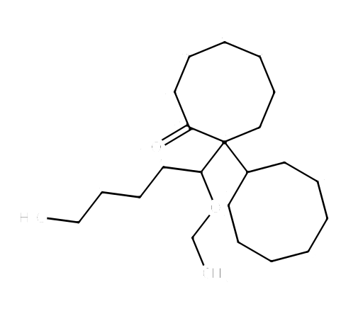 CCCCCC(OCC)C1(C2CCCCCCC2)CCCCCCC1=O